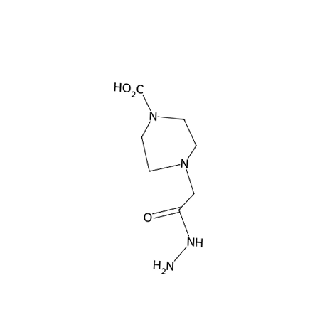 NNC(=O)CN1CCN(C(=O)O)CC1